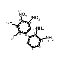 Nc1ccccc1N.O=[N+]([O-])c1ccc(F)c(F)c1[N+](=O)[O-]